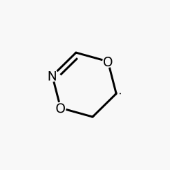 [CH]1CON=CO1